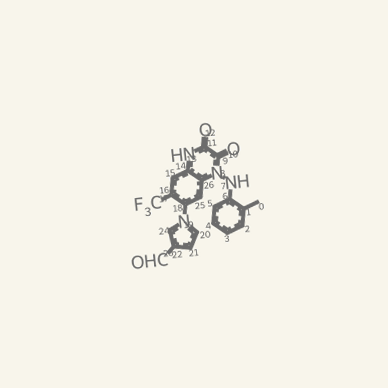 Cc1ccccc1Nn1c(=O)c(=O)[nH]c2cc(C(F)(F)F)c(-n3ccc(C=O)c3)cc21